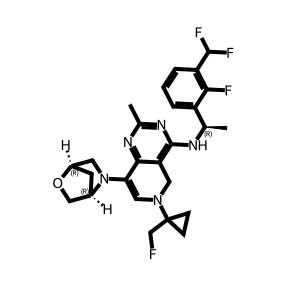 Cc1nc(N[C@H](C)c2cccc(C(F)F)c2F)c2c(n1)C(N1C[C@H]3C[C@@H]1CO3)=CN(C1(CF)CC1)C2